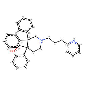 OCC1(c2ccccc2)CCN(CCCc2ccccn2)CC1(c1ccccc1)c1ccccc1